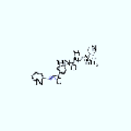 CN1CCC(N(N)CCNC(=O)Nc2ccc(C(=O)/C=C/c3ccccn3)cc2)CC1